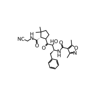 Cc1noc(C)c1C(=O)N[C@@H](Cc1ccccc1)[C@H](O)C(=O)C1CCC(C)(C)[C@H]1C(=O)NCC#N